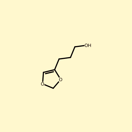 OCCCC1=COCO1